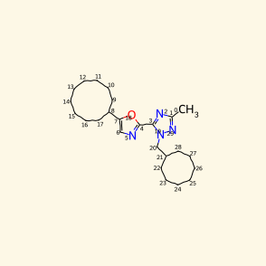 Cc1nc(-c2ncc(C3CCCCCCCCC3)o2)n(CC2CCCCCCC2)n1